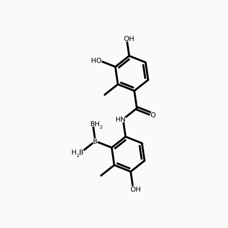 BB(B)c1c(NC(=O)c2ccc(O)c(O)c2C)ccc(O)c1C